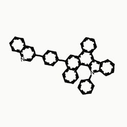 c1ccc(-n2c3ccccc3c3c4ccccc4c4cc(-c5ccc(-c6cnc7ccccc7c6)cc5)c5ccccc5c4c32)cc1